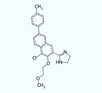 COCCOc1c(C2=NCCN2)cc2cc(-c3ccc(C)cc3)ccc2c1Cl